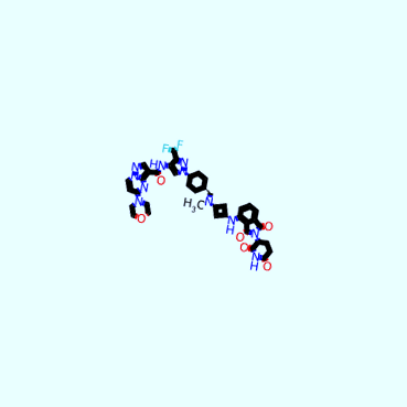 CN(C[C@H]1CC[C@H](n2cc(NC(=O)c3cnn4ccc(N5CCOCC5)nc34)c(C(F)F)n2)CC1)[C@H]1C[C@H](Nc2cccc3c2C(=O)N(C2CCC(=O)NC2=O)C3=O)C1